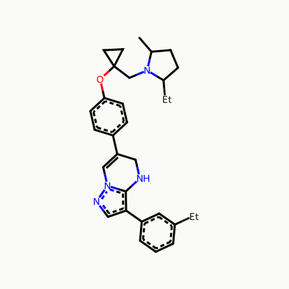 CCc1cccc(-c2cnn3c2NCC(c2ccc(OC4(CN5C(C)CCC5CC)CC4)cc2)=C3)c1